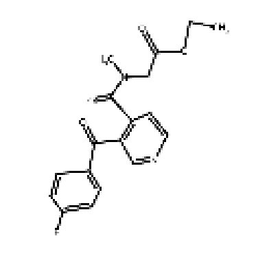 CCOC(=O)CN(C)C(=O)c1ccncc1C(=O)c1ccc(F)cc1